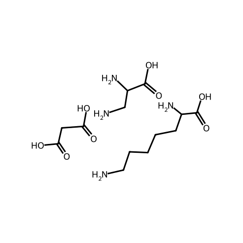 NCC(N)C(=O)O.NCCCCCC(N)C(=O)O.O=C(O)CC(=O)O